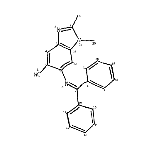 Cc1nc2cc(C#N)c(N=C(c3ccccc3)c3ccccc3)cc2n1C